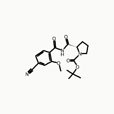 COc1cc(C#N)ccc1C(=O)NC(=O)[C@@H]1CCCN1C(=O)OC(C)(C)C